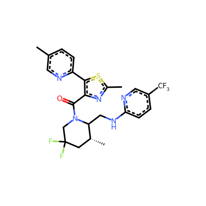 Cc1ccc(-c2sc(C)nc2C(=O)N2CC(F)(F)C[C@@H](C)C2CNc2ccc(C(F)(F)F)cn2)nc1